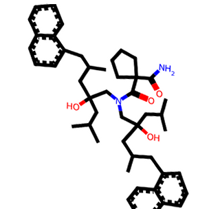 CC(C)CC(O)(CC(C)Cc1cccc2ccccc12)CN(CC(O)(CC(C)C)CC(C)Cc1cccc2ccccc12)C(=O)C1(C(N)=O)CCCC1